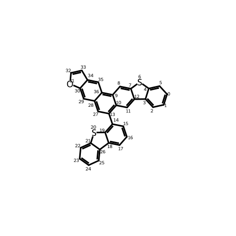 c1ccc2c(c1)sc1cc3c(cc12)c(-c1cccc2c1sc1ccccc12)cc1cc2occc2cc13